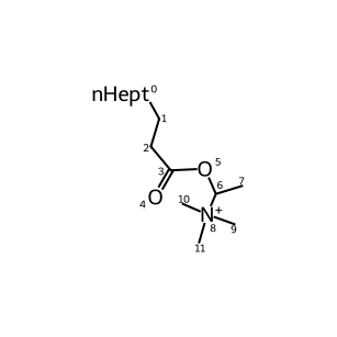 CCCCCCCCCC(=O)OC(C)[N+](C)(C)C